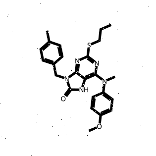 CCCSc1nc(N(C)c2ccc(OC)cc2)c2[nH]c(=O)n(Cc3ccc(C)cc3)c2n1